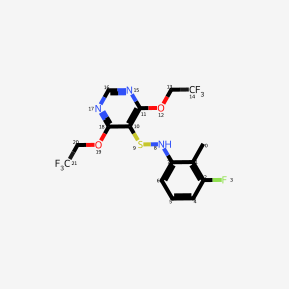 Cc1c(F)cccc1NSc1c(OCC(F)(F)F)ncnc1OCC(F)(F)F